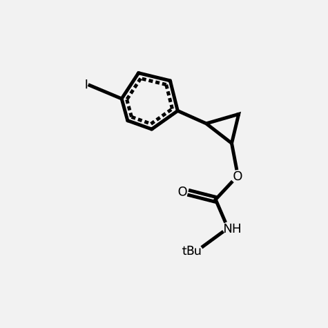 CC(C)(C)NC(=O)OC1CC1c1ccc(I)cc1